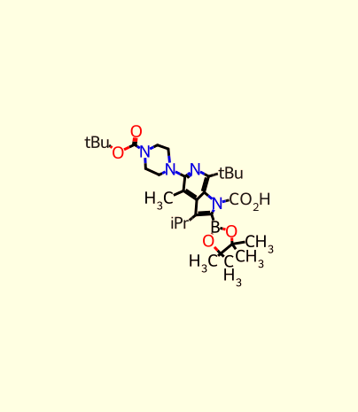 Cc1c(N2CCN(C(=O)OC(C)(C)C)CC2)nc(C(C)(C)C)c2c1c(C(C)C)c(B1OC(C)(C)C(C)(C)O1)n2C(=O)O